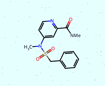 CNC(=O)c1cc(N(C)S(=O)(=O)Cc2ccccc2)ccn1